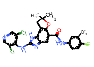 CC1(C)Cc2c(c(C(=O)Nc3ccc(F)c(C(F)(F)F)c3)cc3nc(Nc4c(Cl)cncc4Cl)[nH]c23)O1